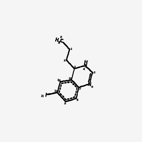 CCCC1NC=Nc2ccc(I)cc21